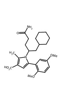 COc1ccc(OC)c(-c2cc(C(=O)O)c(C)n2C(CCC(N)=O)CC2CCCCC2)c1